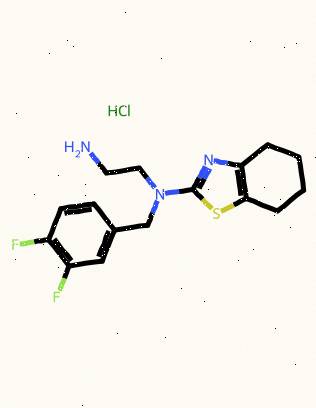 Cl.NCCN(Cc1ccc(F)c(F)c1)c1nc2c(s1)CCCC2